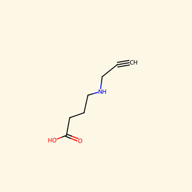 C#CCNCCCC(=O)O